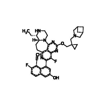 C#Cc1c(F)ccc2cc(O)cc(-c3nc4c5c(nc(OCC6(CN7CC8CC(C8)C7)CC6)nc5c3F)N3CCN[C@@H](CC)[C@H]3CC4)c12